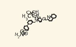 CC(C)(Cc1nc2cc(OCc3ccc4ccccc4n3)ccc2n1Cc1cccc(-c2ccc(S(N)(=O)=O)cc2)c1)C(=O)O